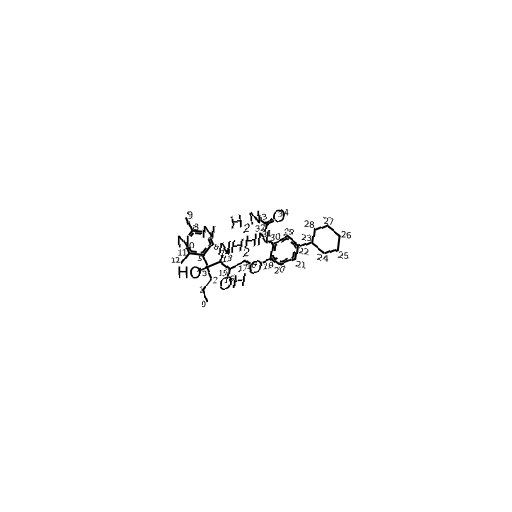 CCCC(O)(c1cnc(C)nc1C)C(N)C(O)COc1ccc(C2CCCCC2)cc1NC(N)=O